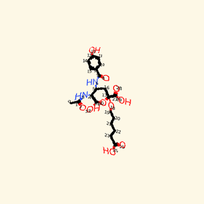 CC(=O)N[C@@H]1[C@@H](NC(=O)c2ccc(O)cc2)C[C@](OCCCCCC(=O)O)(C(=O)O)O[C@H]1O